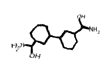 NC(O)C1CCCC(C2CCCC(C(N)O)C2)C1